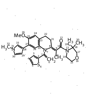 C=C(c1cccs1)N1/C(=C(\C)C(=O)N2CCOCC2(C)C)CCc2cc(OC)c(-c3ccn(C)c3)cc21